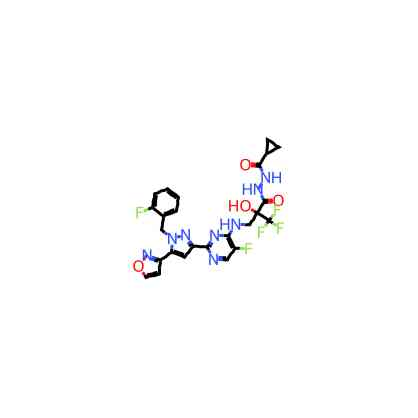 O=C(NNC(=O)C(O)(CNc1nc(-c2cc(-c3ccon3)n(Cc3ccccc3F)n2)ncc1F)C(F)(F)F)C1CC1